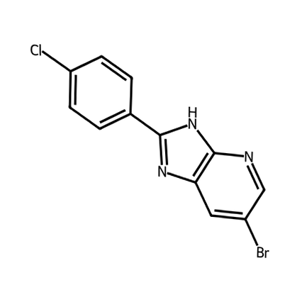 Clc1ccc(-c2nc3cc(Br)cnc3[nH]2)cc1